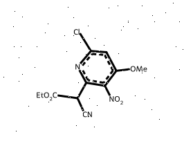 CCOC(=O)C(C#N)c1nc(Cl)cc(OC)c1[N+](=O)[O-]